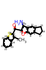 Cc1c(C(=O)c2oc3cc4c(cc3c2N)CCC4)sc2ccccc12